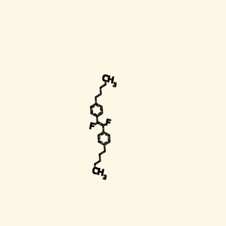 CCCCCc1ccc(/C(F)=C(\F)c2ccc(CCCCC)cc2)cc1